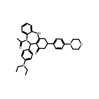 CCN(CC)c1ccc(C2C3=C(CC(c4ccc(N5CCOCC5)cc4)CC3=O)Nc3ccccc3N2C(C)=O)cc1